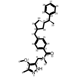 COc1c(C)n[nH]c1CN(C)C(=O)c1ccc(CC2CC[C@H]([C@H](C)c3ccccc3)C2)cc1